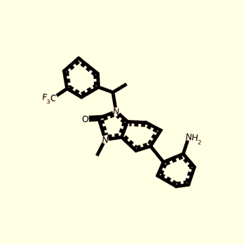 CC(c1cccc(C(F)(F)F)c1)n1c(=O)n(C)c2cc(-c3ccccc3N)ccc21